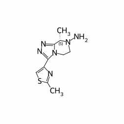 Cc1nc(-c2nnc3n2CCN(N)[C@H]3C)cs1